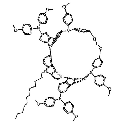 CCCCCCCCCCCCn1c2ccc3cc2c2cc(ccc21)-n1c2ccc(N(c4ccc(OC)cc4)c4ccc(OC)cc4)cc2c2cc(ccc21)N(c1ccc(OC)cc1)c1ccc(cc1)OCOc1ccc(cc1)N(c1ccc(OC)cc1)c1ccc2c(c1)c1cc(N(c4ccc(OC)cc4)c4ccc(OC)cc4)ccc1n2-3